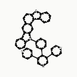 c1cc(-c2c(-c3ccncc3)cncc2-c2ccncc2)cc(-n2c3ccccc3c3cc4ccc5sc6ccccc6c5c4cc32)c1